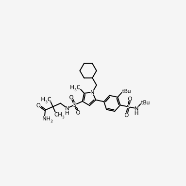 Cc1c(S(=O)(=O)NCC(C)(C)C(N)=O)cc(-c2ccc(S(=O)(=O)NC(C)(C)C)c(C(C)(C)C)c2)n1CC1CCCCC1